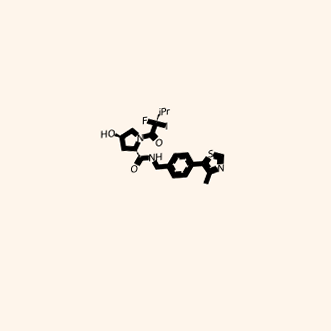 Cc1ncsc1-c1ccc(CNC(=O)[C@@H]2C[C@@H](O)CN2C(=O)[C@@](F)(I)C(C)C)cc1